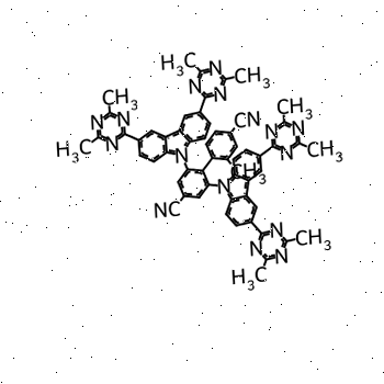 Cc1nc(C)nc(-c2ccc3c(c2)c2cc(-c4nc(C)nc(C)n4)ccc2n3-c2cc(C#N)cc(-n3c4ccc(-c5nc(C)nc(C)n5)cc4c4cc(-c5nc(C)nc(C)n5)ccc43)c2-c2ccc(C#N)cc2C)n1